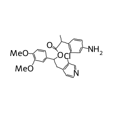 COc1ccc(C(Cc2ccncc2Cl)OC(=O)C(C)c2ccc(N)cc2)cc1OC